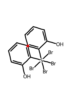 Oc1ccccc1S(Br)(Br)(Br)(Br)c1ccccc1O